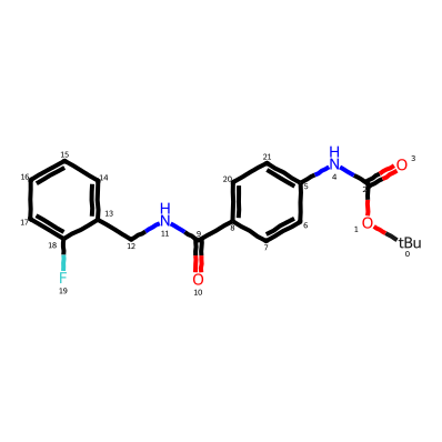 CC(C)(C)OC(=O)Nc1ccc(C(=O)NCc2ccccc2F)cc1